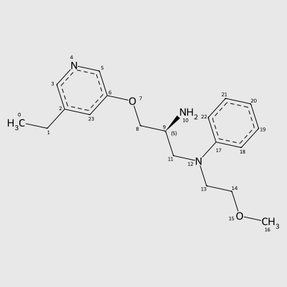 CCc1cncc(OC[C@@H](N)CN(CCOC)c2ccccc2)c1